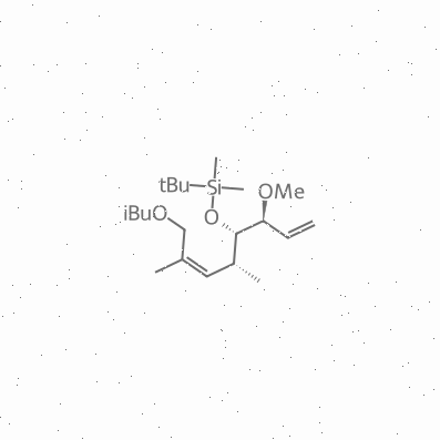 C=C[C@H](OC)[C@@H](O[Si](C)(C)C(C)(C)C)[C@H](C)/C=C(/C)COCC(C)C